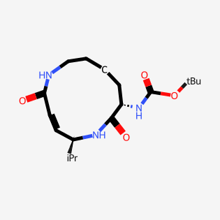 CC(C)[C@H]1/C=C/C(=O)NCCCC[C@H](NC(=O)OC(C)(C)C)C(=O)N1